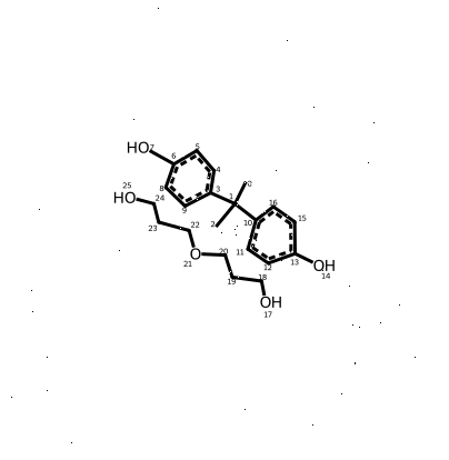 CC(C)(c1ccc(O)cc1)c1ccc(O)cc1.OCCCOCCCO